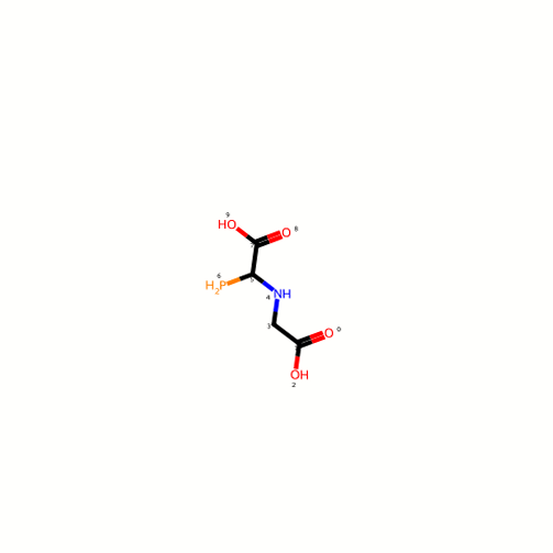 O=C(O)CNC(P)C(=O)O